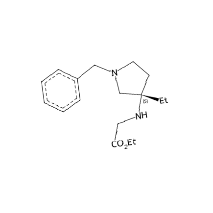 CCOC(=O)CN[C@@]1(CC)CCN(Cc2ccccc2)C1